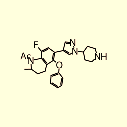 CC(=O)N1c2c(F)cc(-c3cnn(C4CCNCC4)c3)c(Oc3ccccc3)c2CCC1C